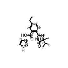 CCc1cnc(C2=NC(C)(C(C)C)C(=O)N2)c(C(=O)O)c1.c1c[nH]nn1